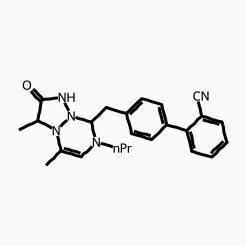 CCCN1C=C(C)N2C(C)C(=O)NN2C1Cc1ccc(-c2ccccc2C#N)cc1